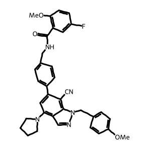 COc1ccc(Cn2ncc3c(N4CCCC4)cc(-c4ccc(CNC(=O)c5cc(F)ccc5OC)cc4)c(C#N)c32)cc1